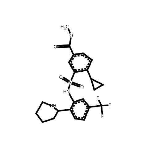 COC(=O)c1ccc(C2CC2)c(S(=O)(=O)Nc2cc(C(F)(F)F)ccc2C2CCCCN2)c1